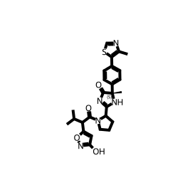 Cc1ncsc1-c1ccc([C@]2(C)NC(C3CCCN3C(=O)C(c3cc(O)no3)C(C)C)=NC2=O)cc1